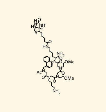 COCCN(CC(=O)N[C@@H](CCCCNC(=O)CCCCC1SC[C@@H]2NC(=O)N[C@H]12)C(N)=O)C(=O)CN(CCOC)C(=O)CN(CCCCN)C(=O)CN(Cc1cccc2ccccc12)C(C)=O